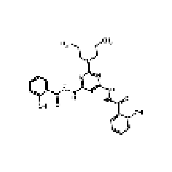 CCCN(CCC)c1nc(NNC(=O)c2ccccc2O)nc(NNC(=O)c2ccccc2O)n1